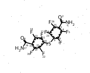 NC(=O)c1c(F)c(F)c(Sc2c(F)c(F)c(C(N)=O)c(F)c2F)c(F)c1F